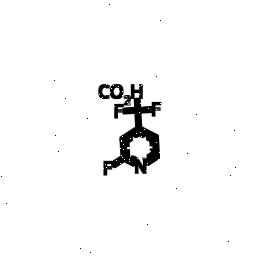 O=C(O)C(F)(F)c1ccnc(F)c1